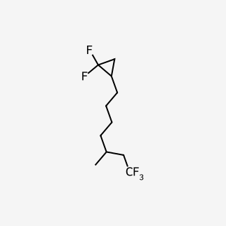 CC(CCCCC1CC1(F)F)CC(F)(F)F